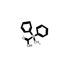 C[Si](C(=O)O)(c1ccccc1)c1ccccc1